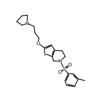 Cc1cccc(S(=O)(=O)N2CCc3cc(OCCCN4CCCC4)sc3C2)c1